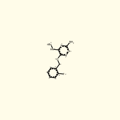 CCCCNc1nc(N)nnc1OCc1ccccc1F